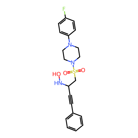 O=S(=O)(CC(C#Cc1ccccc1)NO)N1CCN(c2ccc(F)cc2)CC1